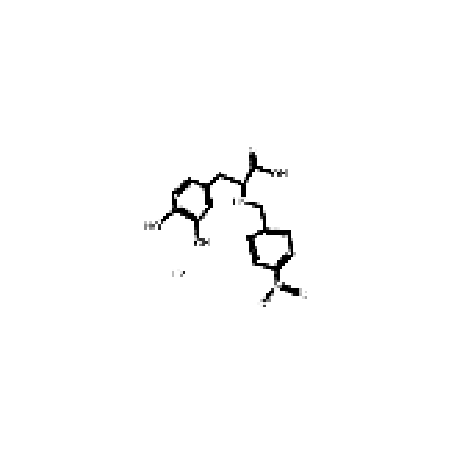 Br.O=C(O)C(Cc1ccc(O)c(O)c1)NCc1ccc([N+](=O)[O-])cc1